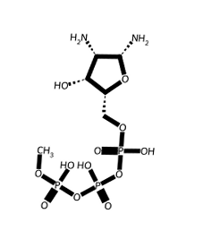 COP(=O)(O)OP(=O)(O)OP(=O)(O)OC[C@H]1O[C@@H](N)[C@@H](N)[C@H]1O